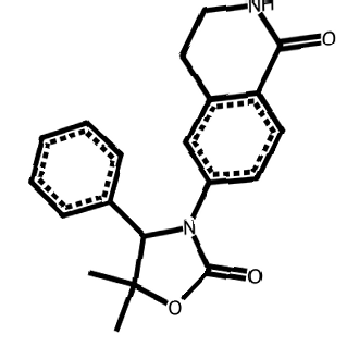 CC1(C)OC(=O)N(c2ccc3c(c2)CCNC3=O)C1c1ccccc1